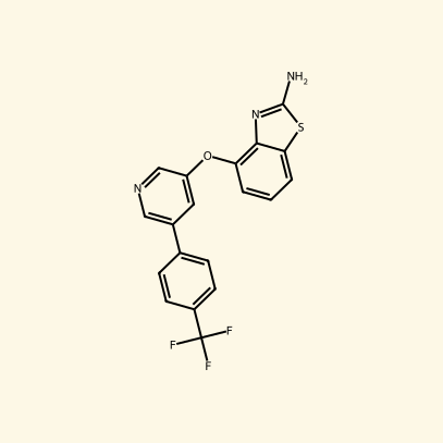 Nc1nc2c(Oc3cncc(-c4ccc(C(F)(F)F)cc4)c3)cccc2s1